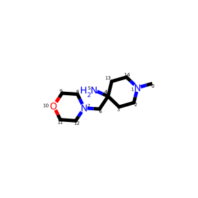 CN1CCC(N)(CN2CCOCC2)CC1